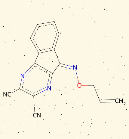 C=CCO/N=C1/c2ccccc2-c2nc(C#N)c(C#N)nc21